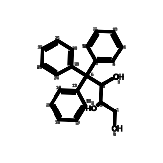 OCC(O)C(O)C(c1ccccc1)(c1ccccc1)c1ccccc1